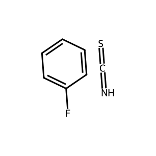 Fc1ccccc1.N=C=S